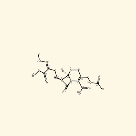 CO/N=C(/CN[C@@H]1C(=O)N2C(C(=O)O)=C(COC(C)=O)CS[C@H]12)C(=O)CBr